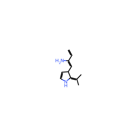 C=CC(N)=CC1C=CNC1=C(C)C